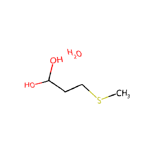 CSCCC(O)O.O